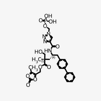 Cc1oc(=O)oc1COC(=O)[C@](C)(CO)C[C@@H](Cc1ccc(-c2ccccc2)cc1)NC(=O)c1cn(COP(=O)(O)O)nn1